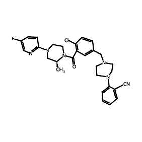 C[C@H]1CN(c2ccc(F)cn2)CCN1C(=O)c1cc(CN2CCN(c3ccccc3C#N)CC2)ccc1Cl